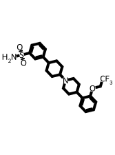 NS(=O)(=O)c1cccc(C2CCC(N3CCC(c4ccccc4OCC(F)(F)F)CC3)CC2)c1